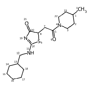 CC1CCN(C(=O)CC2SC(NCC3CCCCC3)=NC2=O)CC1